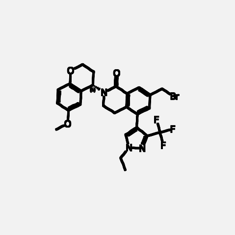 CCn1cc(-c2cc(CBr)cc3c2CCN([C@H]2CCOc4ccc(OC)cc42)C3=O)c(C(F)(F)F)n1